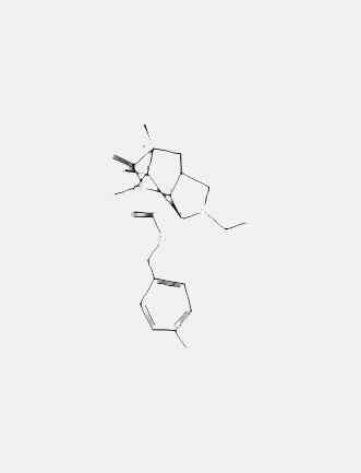 CC(C)C[C@H]1[C@@H]2N(CC(C)C)C[C@@H]3C[C@H]1C(=O)N[C@@]32C(=O)NCc1ccc(Cl)cc1